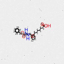 O=C(O)CCCCCCC1C2CCC(O2)C1CNNC(=O)OCc1ccccc1